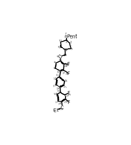 CCCCCC1CCC(COc2ccc(-c3ccc(-c4ccc(OCC)c(F)c4F)cc3)c(F)c2F)CC1